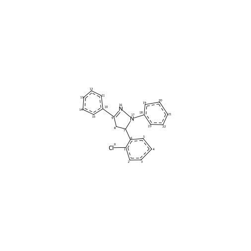 Clc1ccccc1C1CC(c2ccccc2)=NN1c1ccccc1